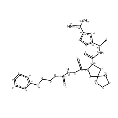 C[C@@H](NC(=O)[C@@H]1CC2(CN1C(=O)CNC(=O)CCCOc1ccccc1)OCCO2)c1ccc(C(=N)N)s1